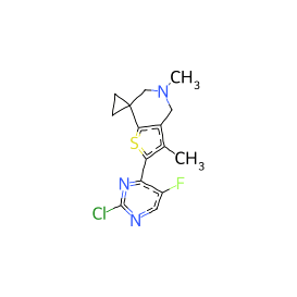 Cc1c(-c2nc(Cl)ncc2F)sc2c1CN(C)CC21CC1